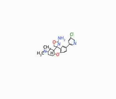 CN(C)[C@@H]1CCC2Oc3ccc(-c4cncc(Cl)c4)cc3C3(COC(N)=N3)[C@H]2C1